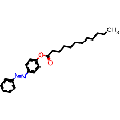 CCCCCCCCCCCC(=O)Oc1ccc(/N=N/c2ccccc2)cc1